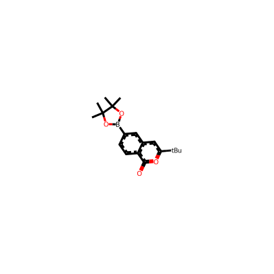 CC(C)(C)c1cc2cc(B3OC(C)(C)C(C)(C)O3)ccc2c(=O)o1